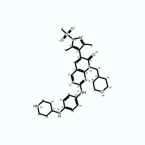 Cc1nn(S(C)(=O)=O)c(C)c1-c1cc2cnc(Nc3ccc(NC4CCNCC4)cc3)nc2n(CC2CCOCC2)c1=O